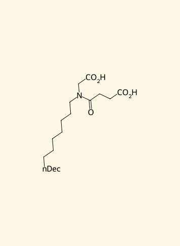 CCCCCCCCCCCCCCCCCN(CC(=O)O)C(=O)CCC(=O)O